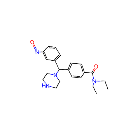 CCN(CC)C(=O)c1ccc(C(c2cccc(N=O)c2)N2CCNCC2)cc1